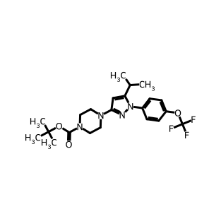 CC(C)c1cc(N2CCN(C(=O)OC(C)(C)C)CC2)nn1-c1ccc(OC(F)(F)F)cc1